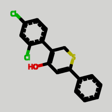 OC1=C(c2ccc(Cl)cc2Cl)CSC(c2ccccc2)=C1